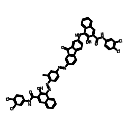 Cc1cc(N=Nc2ccc3c(c2)C(=O)c2cc(Nc4c(O)c(C(=O)Nc5ccc(Cl)c(Cl)c5)cc5ccccc45)ccc2-3)ccc1N=Nc1c(O)c(C(=O)Nc2ccc(Cl)c(Cl)c2)cc2ccccc12